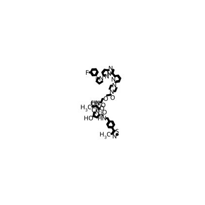 Cc1ncsc1-c1ccc(CNC(=O)[C@@H]2C[C@@H](O)CN2C(=O)[C@@H](NC(=O)COCC(=O)N2CCN(c3cccc(-c4cnc5ccc(N6CCC[C@@H]6c6cccc(F)c6)nn45)n3)CC2)C(C)(C)C)cc1